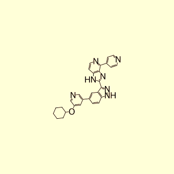 c1cc(-c2nccc3[nH]c(-c4n[nH]c5ccc(-c6cncc(OC7CCCCC7)c6)cc45)nc23)ccn1